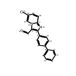 O=Cc1c(-c2ccc(-c3ccccc3)cc2)nc2ccc(Cl)cn12